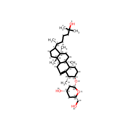 C[C@H](CCCC(C)(C)O)C1CC[C@@]2(C)C3CC=C4C(CC[C@H](O[C@H]5C[C@@H](O)C[C@@H](CO)O5)[C@@H]4C)[C@]3(C)CC[C@]12C